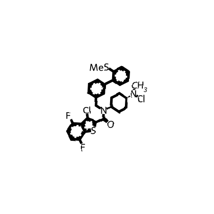 CSc1ccccc1-c1cccc(CN(C(=O)c2sc3c(F)ccc(F)c3c2Cl)[C@H]2CC[C@H](N(C)Cl)CC2)c1